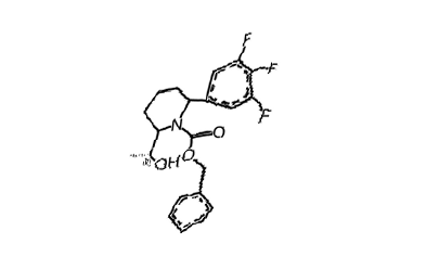 C[C@@H](O)C1CCCC(c2cc(F)c(F)c(F)c2)N1C(=O)OCc1ccccc1